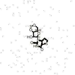 O=c1[nH]c(=O)n([C@@H]2O[C@@H]3COSOC3C2O)c2ccsc12